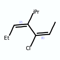 C/C=C(Cl)\C(=C/CC)C(C)C